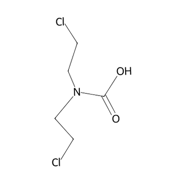 O=C(O)N(CCCl)CCCl